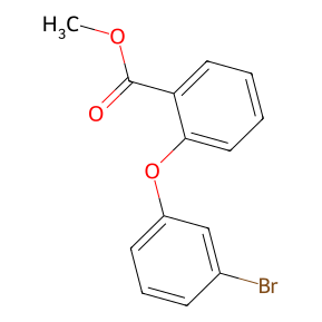 COC(=O)c1ccccc1Oc1cccc(Br)c1